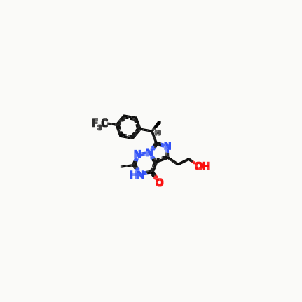 Cc1nn2c([C@H](C)c3ccc(C(F)(F)F)cc3)nc(CCO)c2c(=O)[nH]1